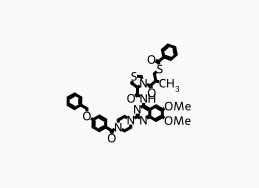 COc1cc2nc(N3CCN(C(=O)c4ccc(OCc5ccccc5)cc4)CC3)nc(NC(=O)C3CSCN3C(=O)C(C)CSC(=O)c3ccccc3)c2cc1OC